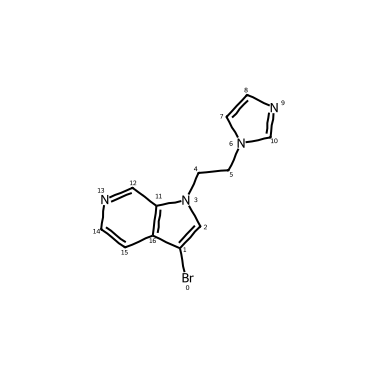 Brc1cn(CCn2ccnc2)c2cnccc12